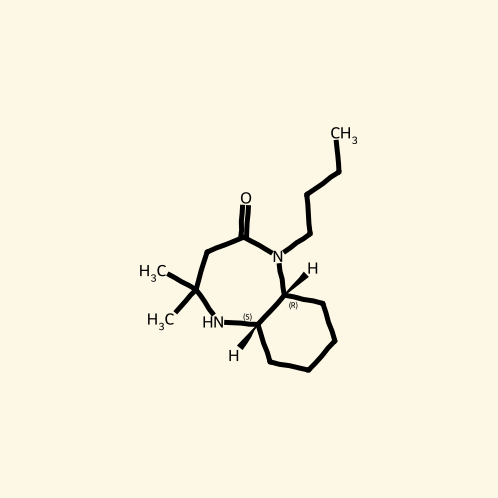 CCCCN1C(=O)CC(C)(C)N[C@H]2CCCC[C@H]21